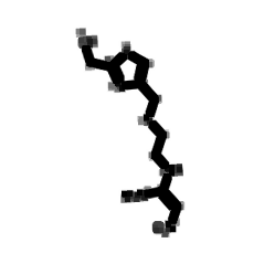 CN/C(=C\[N+](=O)[O-])NCCSCc1csc(CO)n1